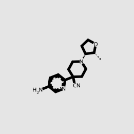 C[C@H]1OCC[C@H]1N1CCC(C#N)(c2ccc(N)cn2)CC1